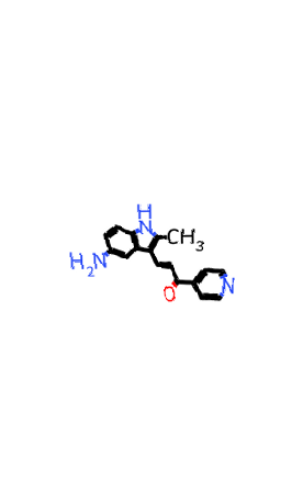 Cc1[nH]c2ccc(N)cc2c1C=CC(=O)c1ccncc1